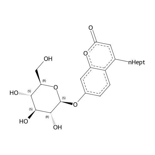 CCCCCCCc1cc(=O)oc2cc(O[C@@H]3O[C@H](CO)[C@@H](O)[C@H](O)[C@H]3O)ccc12